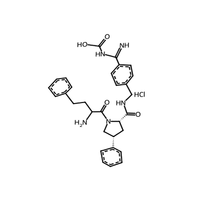 Cl.N=C(NC(=O)O)c1ccc(CNC(=O)[C@@H]2C[C@H](c3ccccc3)CN2C(=O)C(N)CCc2ccccc2)cc1